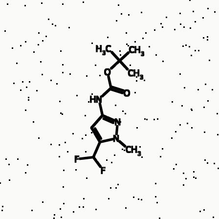 Cn1nc(NC(=O)OC(C)(C)C)cc1C(F)F